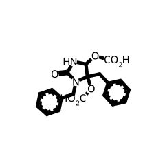 O=C(O)OC1NC(=O)N(Cc2ccccc2)C1(Cc1ccccc1)OC(=O)O